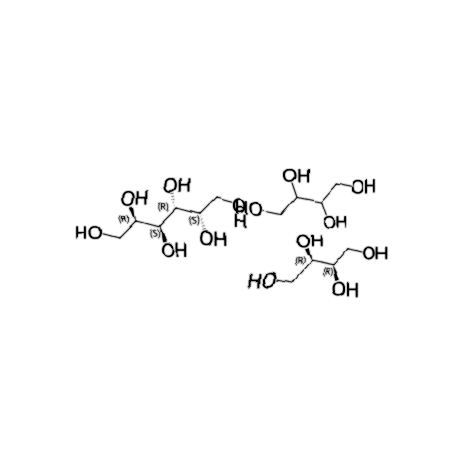 OCC(O)C(O)CO.OC[C@@H](O)[C@H](O)CO.OC[C@@H](O)[C@H](O)[C@H](O)[C@@H](O)CO